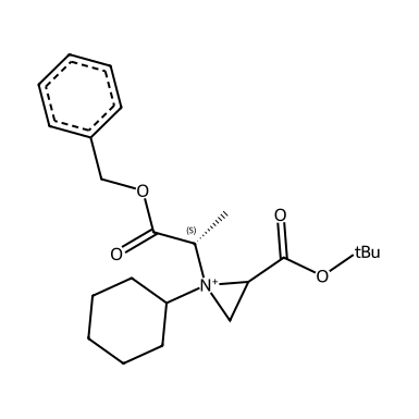 C[C@@H](C(=O)OCc1ccccc1)[N+]1(C2CCCCC2)CC1C(=O)OC(C)(C)C